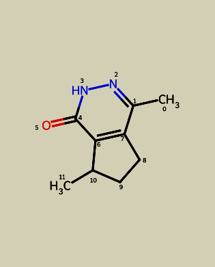 Cc1n[nH]c(=O)c2c1CCC2C